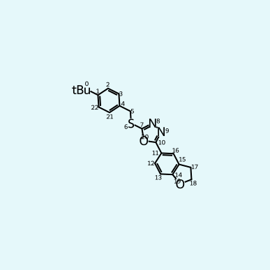 CC(C)(C)c1ccc(CSc2nnc(-c3ccc4c(c3)CCO4)o2)cc1